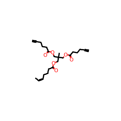 C#CCCCC(=O)OCC(C)(COC(=O)CCCC#C)COC(=O)CCC/C=C\C